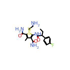 CCC(C(=O)NC1=C(C(N)=O)C(C)=C(C(N)=O)[SH]1CCN)c1ccc(F)cc1